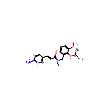 COc1cccc(CN(C)C(=O)C=Cc2ccc(N)nc2)c1OC(C)C